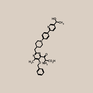 Cc1nc(CC2CCN(c3ccc(-c4ccc(C(C)O)cn4)cc3)CC2)nc(C(=O)C(N)C(=O)O)c1OCc1ccccc1